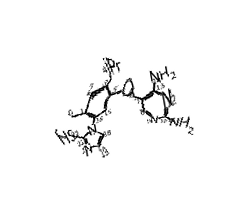 Cc1cc(C(C)C)c(Oc2cnc(N)nc2N)cc1-n1ccnc1S